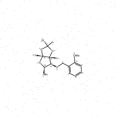 CCCC[C@H]1O[C@@H]2OC(C)(CC)O[C@@H]2[C@H]1OCc1ccccc1OC